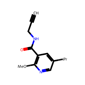 C#CCNC(=O)c1cc(C(C)C)cnc1OC